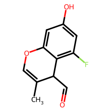 CC1=COc2cc(O)cc(F)c2C1C=O